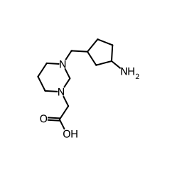 NC1CCC(CN2CCCN(CC(=O)O)C2)C1